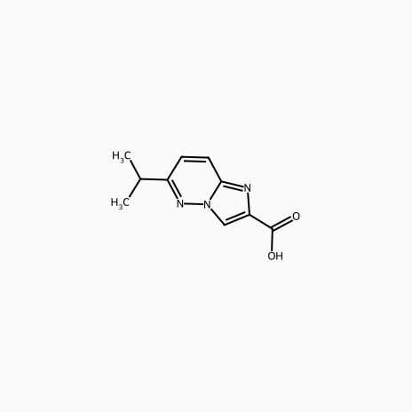 CC(C)c1ccc2nc(C(=O)O)cn2n1